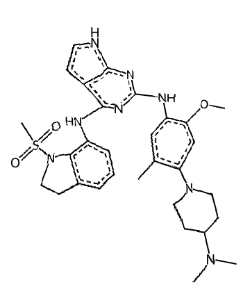 COc1cc(N2CCC(N(C)C)CC2)c(C)cc1Nc1nc(Nc2cccc3c2N(S(C)(=O)=O)CC3)c2cc[nH]c2n1